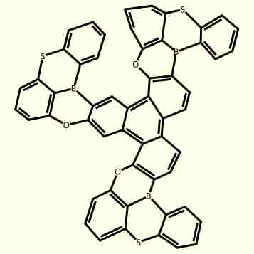 c1ccc2c(c1)Sc1cccc3c1B2c1cc2c(cc1O3)c1c3c(ccc1c1ccc4c(c12)Oc1cccc2c1B4c1ccccc1S2)B1c2ccccc2Sc2cccc(c21)O3